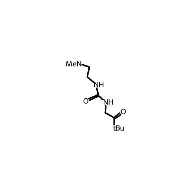 CNCCNC(=O)NCC(=O)C(C)(C)C